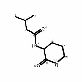 CC(C)CC(=O)NC1CCCNC1=O